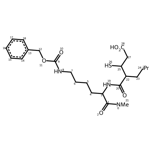 CNC(=O)C(CCCCNC(=O)OCc1ccccc1)NC(=O)C(CC(C)C)C(S)CC(=O)O